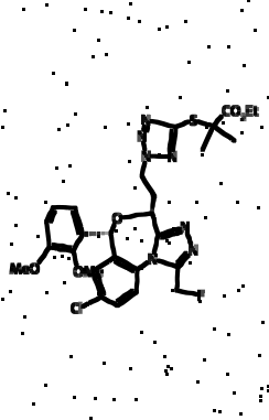 CCOC(=O)C(C)(C)Sc1nnn(CC[C@@H]2O[C@@H](c3cccc(OC)c3OC)c3cc(Cl)ccc3-n3c(CF)nnc32)n1